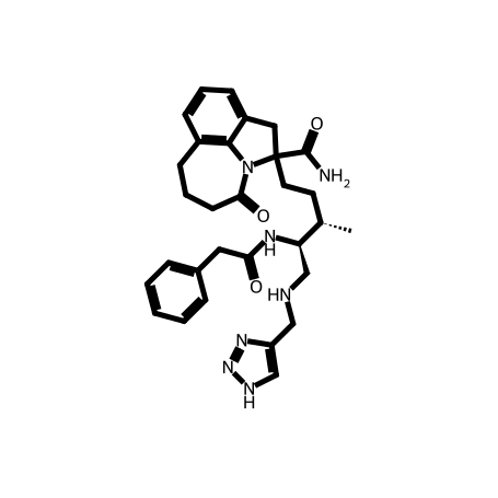 C[C@@H](CCC1(C(N)=O)Cc2cccc3c2N1C(=O)CCC3)[C@@H](CNCc1c[nH]nn1)NC(=O)Cc1ccccc1